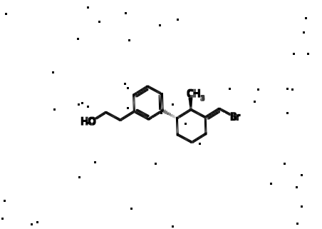 C[C@H]1/C(=C/Br)CCC[C@@H]1c1cccc(CCO)c1